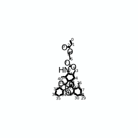 C=CC(=O)OCCOC(=O)Nc1c(C)cc(C)c(C(=O)P(=O)(C(=O)c2c(C)cc(C)cc2C)c2ccccc2)c1C